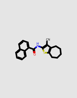 N#Cc1c(NC(=O)c2cccc3ccccc23)sc2c1CCCCC2